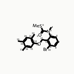 CSC(=O)N(C)c1cccc(Br)c1COc1cc(C)c(C)cc1C